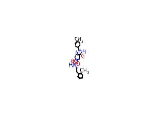 Cc1ccccc1CCNS(=O)(=O)N1CCC2(CC1)N=C(C1CCC(C)CC1)NC2=O